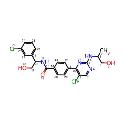 CC(CO)Nc1ncc(Cl)c(-c2ccc(C(=O)NC(CO)c3cccc(Cl)c3)cc2)n1